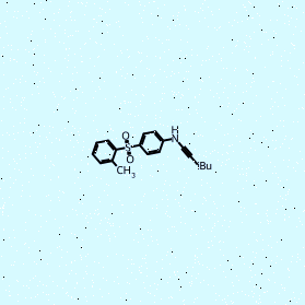 CCC(C)C#CNc1ccc(S(=O)(=O)c2ccccc2C)cc1